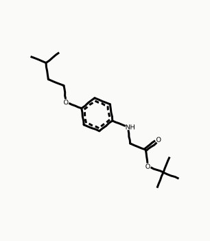 CC(C)CCOc1ccc(NCC(=O)OC(C)(C)C)cc1